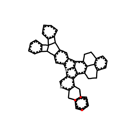 c1cc2c3c(c1)CCc1c-3c(c3c4cc5c(cc4n4c6cnc7c(c6c1c34)C1c3ccccc3C7c3ccccc31)C1c3ccccc3C13c1ccccc1C53)CC2